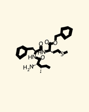 CC[C@H](C)[C@H](N)C(=O)N[C@@H](Cc1ccccc1)C(=O)N[C@@H](CCSC)C(=O)OCc1ccccc1